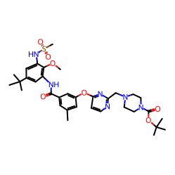 COc1c(NC(=O)c2cc(C)cc(Oc3ccnc(CN4CCN(C(=O)OC(C)(C)C)CC4)n3)c2)cc(C(C)(C)C)cc1NS(C)(=O)=O